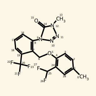 Cc1ccc(OCc2c(-n3nnn(C)c3=O)cccc2C(F)(F)F)c(C(F)F)c1